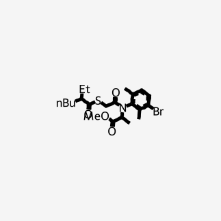 CCCCC(CC)C(=O)SCC(=O)N(c1c(C)ccc(Br)c1C)C(C)C(=O)OC